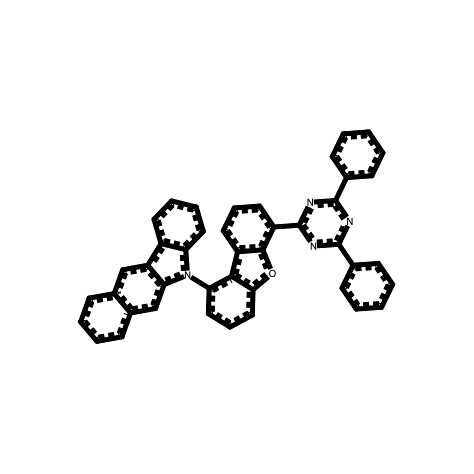 c1ccc(-c2nc(-c3ccccc3)nc(-c3cccc4c3oc3cccc(-n5c6ccccc6c6cc7ccccc7cc65)c34)n2)cc1